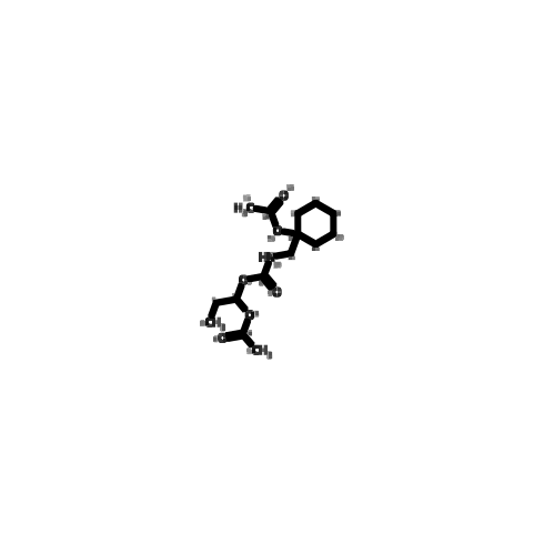 CCC(OC(C)=O)OC(=O)NCC1(OC(C)=O)CCCCC1